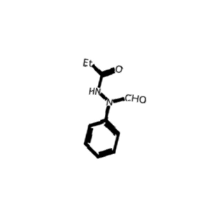 CCC(=O)NN(C=O)c1ccccc1